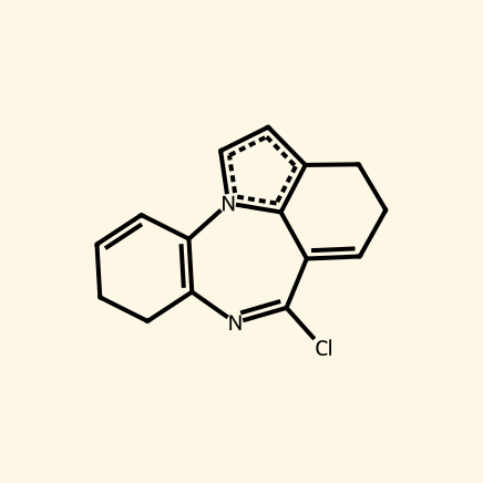 ClC1=NC2=C(C=CCC2)n2ccc3c2C1=CCC3